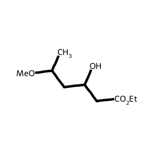 CCOC(=O)CC(O)CC(C)OC